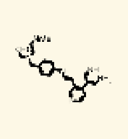 CNCCN(CC=O)Cc1ccc(N/C=C/c2cnccc2/C(C=N)=C/N)cc1